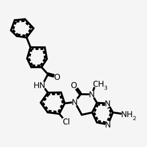 CN1C(=O)N(c2cc(NC(=O)c3ccc(-c4ccccc4)cc3)ccc2Cl)Cc2cnc(N)nc21